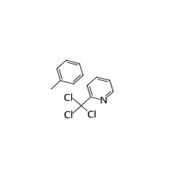 Cc1ccccc1.ClC(Cl)(Cl)c1ccccn1